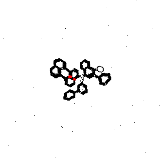 c1ccc(-c2cccc(N(c3ccc(-c4cccc5cccc(-c6ccccc6)c45)cc3)c3cc4c5ccccc5oc4c4ccccc34)c2)cc1